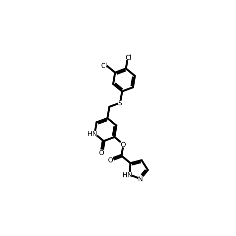 O=C(Oc1cc(CSc2ccc(Cl)c(Cl)c2)c[nH]c1=O)c1ccn[nH]1